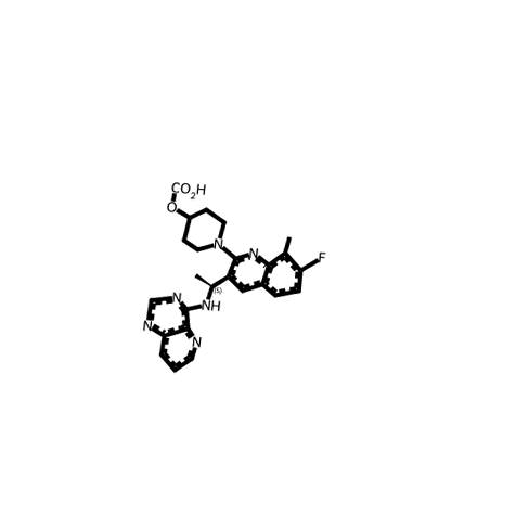 Cc1c(F)ccc2cc([C@H](C)Nc3ncnc4cccnc34)c(N3CCC(OC(=O)O)CC3)nc12